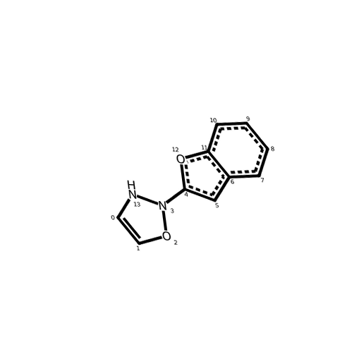 C1=CON(c2cc3ccccc3o2)N1